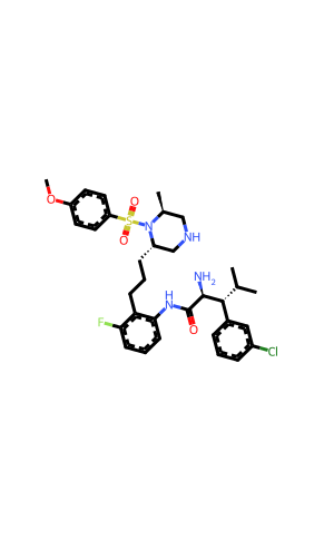 COc1ccc(S(=O)(=O)N2[C@@H](CCCc3c(F)cccc3NC(=O)[C@@H](N)[C@@H](c3cccc(Cl)c3)C(C)C)CNC[C@@H]2C)cc1